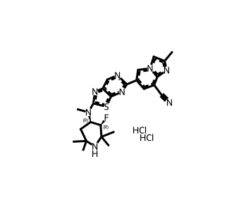 Cc1cn2cc(-c3ncc4nc(N(C)[C@@H]5CC(C)(C)NC(C)(C)[C@@H]5F)sc4n3)cc(C#N)c2n1.Cl.Cl